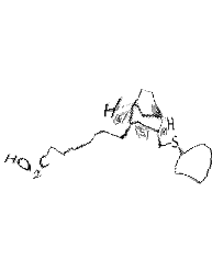 O=C(O)CCCCCC[C@H]1[C@H]2CC[C@H](C2)[C@H]1CSC1CCCCC1